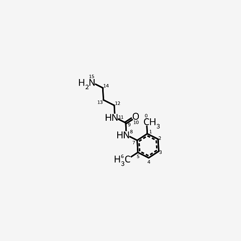 Cc1cccc(C)c1NC(=O)NCCCN